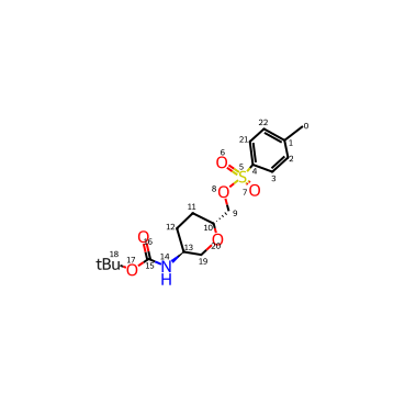 Cc1ccc(S(=O)(=O)OC[C@H]2CC[C@H](NC(=O)OC(C)(C)C)CO2)cc1